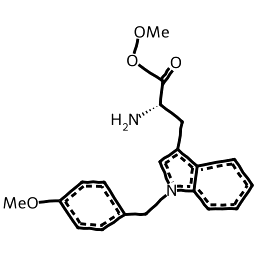 COOC(=O)[C@@H](N)Cc1cn(Cc2ccc(OC)cc2)c2ccccc12